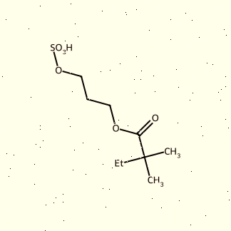 CCC(C)(C)C(=O)OCCCOS(=O)(=O)O